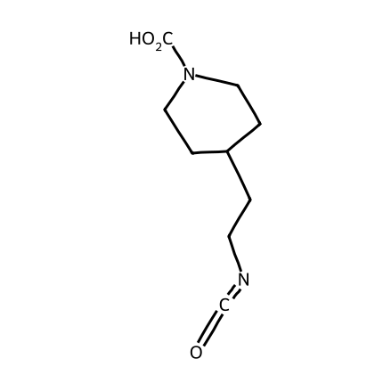 O=C=NCCC1CCN(C(=O)O)CC1